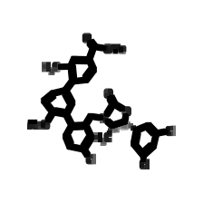 COC(=O)c1ccc(-c2ccc(OC)c(-c3ccc(Cl)cc3CN3C(=O)O[C@H](c4cc(Cl)cc(Cl)c4)[C@@H]3C)c2)c(C)c1